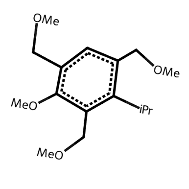 COCc1cc(COC)c(C(C)C)c(COC)c1OC